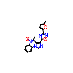 Cc1ccc(-c2noc(-c3ncn4c3c(C)[n+]([O-])c3ccccc34)n2)o1